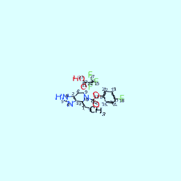 CCC1c2nc[nH]c2CCN1C(=O)Oc1ccc(F)cc1.O=C(O)C(F)(F)F